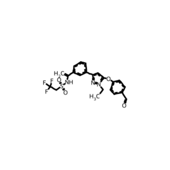 C=C(NS(=O)(=O)CC(F)(F)F)c1cccc(-c2cc(Oc3ccc(C=O)cc3)n(CC)n2)c1